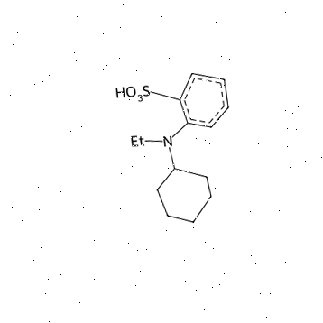 CCN(c1ccccc1S(=O)(=O)O)C1CCCCC1